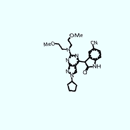 COCCN(CCOC)c1nc(C2C(=O)Nc3ccc(C#N)cc32)c2cn(C3CCCC3)nc2n1